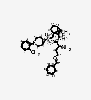 Cc1ccccc1N1CCN(S(=O)(=O)CC23CCC(CC2NC(=O)[C@@H](N)CCOCc2ccccc2)C3(C)C)CC1